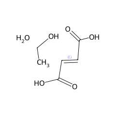 CCO.O.O=C(O)/C=C/C(=O)O